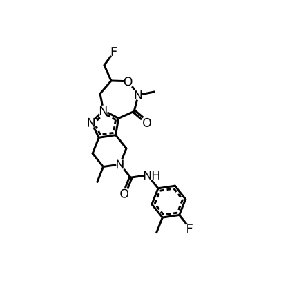 Cc1cc(NC(=O)N2Cc3c(nn4c3C(=O)N(C)OC(CF)C4)CC2C)ccc1F